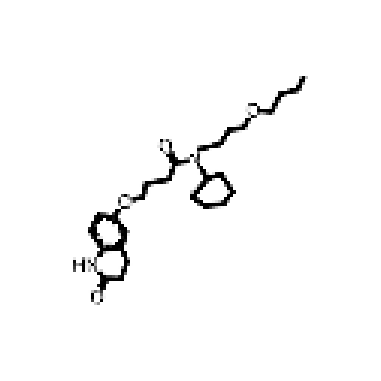 CCCCOCCCCN(C(=O)CCCOc1ccc2c(c1)CCC(=O)N2)C1CCCCC1